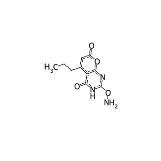 CCCc1cc(=O)oc2nc(ON)[nH]c(=O)c12